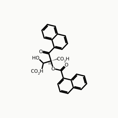 O=C(O[C@](C(=O)O)(C(=O)c1cccc2ccccc12)C(O)C(=O)O)c1cccc2ccccc12